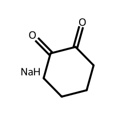 O=C1CCCCC1=O.[NaH]